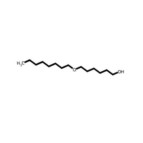 CCCCCCCCOCCCCCCO